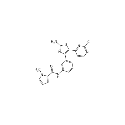 Cn1cccc1C(=O)Nc1cccc(-c2nc(N)sc2-c2ccnc(Cl)n2)c1